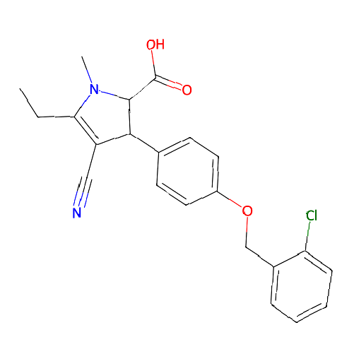 CCC1=C(C#N)C(c2ccc(OCc3ccccc3Cl)cc2)C(C(=O)O)N1C